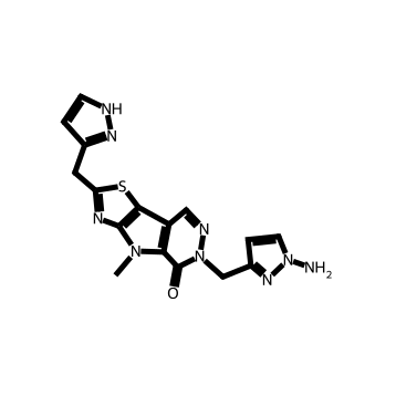 Cn1c2nc(Cc3cc[nH]n3)sc2c2cnn(Cc3ccn(N)n3)c(=O)c21